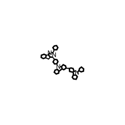 c1ccc(-c2nc(-c3ccc(-n4c5ccccc5c5cc(-c6ccc7c(c6)c6ccccc6n7-c6ccccc6)ccc54)cc3)c3c(n2)-c2ccccc2C3)cc1